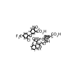 CCc1cccc(C)c1N(C(=O)CCl)C(C)COC.O=C(O)CNCP(=O)(O)O.O=C(O)c1cc(Oc2ccc(C(F)(F)F)cc2Cl)ccc1[N+](=O)[O-]